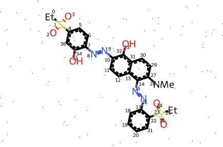 CCS(=O)(=O)c1ccc(/N=N/c2ccc3c(/N=N/c4ccccc4S(=O)(=O)CC)c(NC)ccc3c2O)c(O)c1